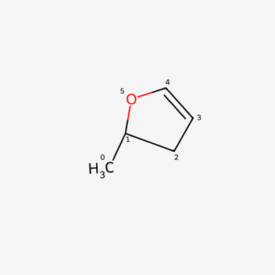 CC1CC=CO1